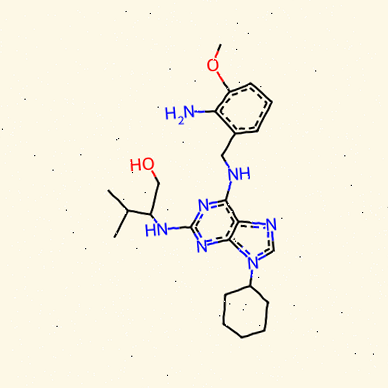 COc1cccc(CNc2nc(NC(CO)C(C)C)nc3c2ncn3C2CCCCC2)c1N